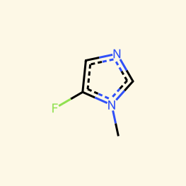 Cn1cncc1F